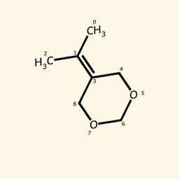 CC(C)=C1COCOC1